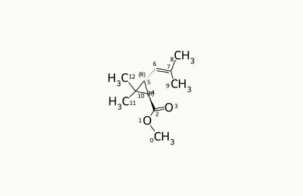 COC(=O)[C@@H]1[C@@H](C=C(C)C)C1(C)C